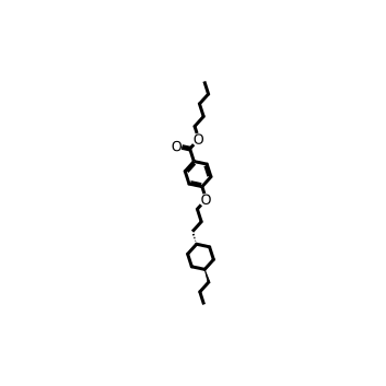 CCCCCOC(=O)c1ccc(OCCC[C@H]2CC[C@H](CCC)CC2)cc1